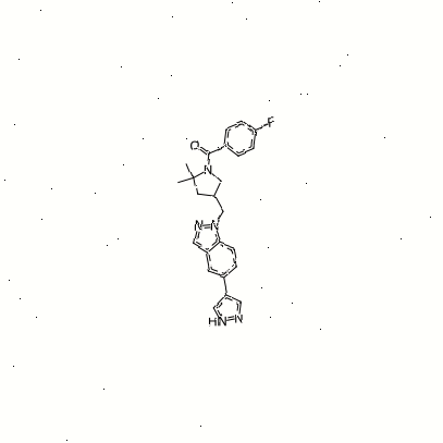 CC1(C)CC(Cn2ncc3cc(-c4cn[nH]c4)ccc32)CN1C(=O)c1ccc(F)cc1